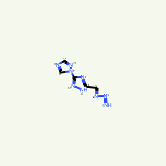 N=NN=Cc1nc(-n2cncn2)n[nH]1